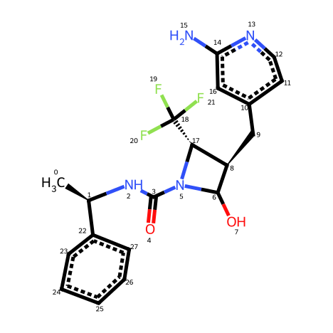 C[C@@H](NC(=O)N1C(O)[C@H](Cc2ccnc(N)c2)[C@H]1C(F)(F)F)c1ccccc1